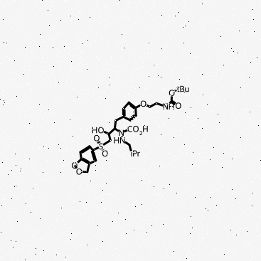 CC(C)CNN(C(=O)O)C(Cc1ccc(OCCNC(=O)OC(C)(C)C)cc1)C(O)CS(=O)(=O)c1ccc2c(c1)COO2